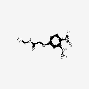 CCOC(=O)CSc1ccc([N+](=O)[O-])c(OC)c1